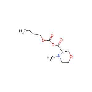 CCCCOC(=O)OC(=O)C1COCCN1C